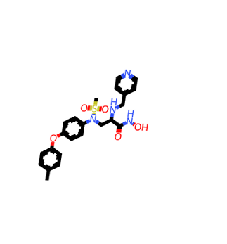 Cc1ccc(Oc2ccc(N(CC(NCc3ccncc3)C(=O)NO)S(C)(=O)=O)cc2)cc1